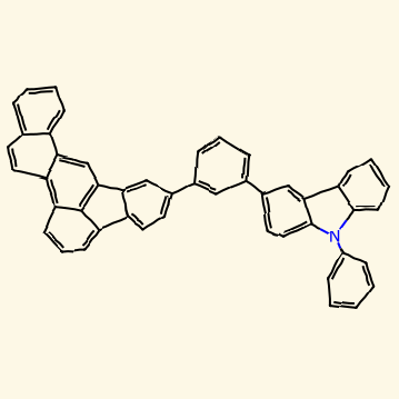 c1ccc(-n2c3ccccc3c3cc(-c4cccc(-c5ccc6c(c5)-c5cc7c8ccccc8ccc7c7cccc-6c57)c4)ccc32)cc1